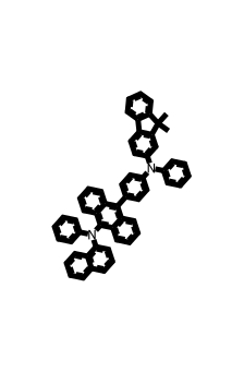 CC1(C)c2ccccc2-c2ccc(N(c3ccccc3)c3ccc(-c4c5ccccc5c(N(c5ccccc5)c5cccc6ccccc56)c5ccccc45)cc3)cc21